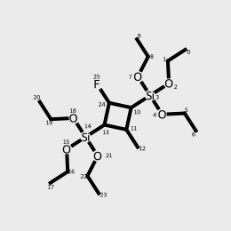 CCO[Si](OCC)(OCC)C1C(C)C([Si](OCC)(OCC)OCC)C1F